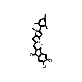 Cc1cc(C)c(-c2cc3sc(C=C4C(=O)c5cc(Cl)c(Cl)cc5C4=O)cc3n2C)c(C)c1